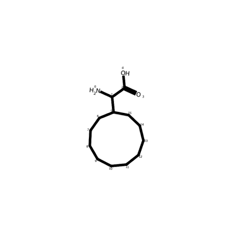 NC(C(=O)O)C1CCCCCCCCCC1